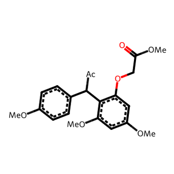 COC(=O)COc1cc(OC)cc(OC)c1C(C(C)=O)c1ccc(OC)cc1